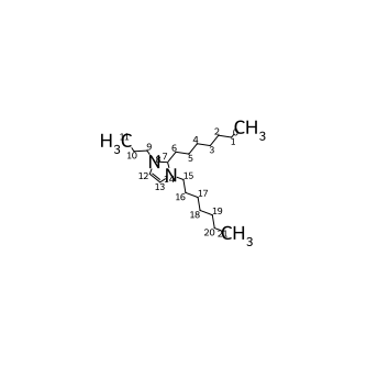 CCCCCCCC1N(CCC)C=CN1CCCCCCC